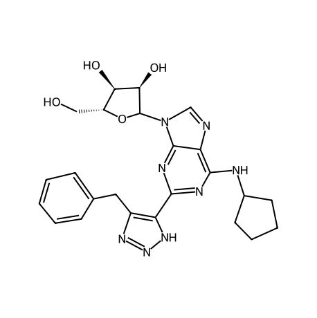 OC[C@H]1OC(n2cnc3c(NC4CCCC4)nc(-c4[nH]nnc4Cc4ccccc4)nc32)[C@H](O)[C@@H]1O